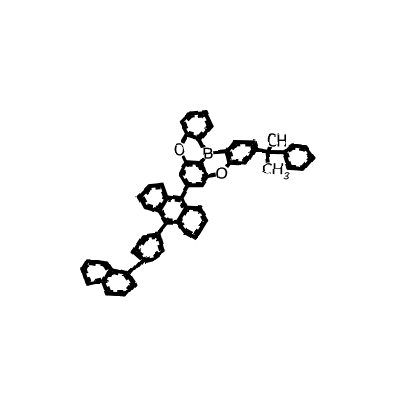 CC(C)(c1ccccc1)c1ccc2c(c1)Oc1cc(-c3c4ccccc4c(-c4ccc(-c5cccc6ccccc56)cc4)c4ccccc34)cc3c1B2c1ccccc1O3